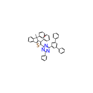 CC1(c2ccccc2)c2ccccc2-c2sc(-c3nc(-c4ccccc4)nc(-c4cc(-c5ccccc5)cc(-c5ccccc5)c4)n3)c(-c3ccccc3)c21